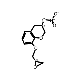 O=[N+]([O-])O[C@H]1COc2c(cccc2OC[C@H]2CO2)C1